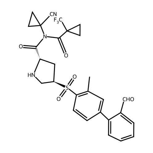 Cc1cc(-c2ccccc2C=O)ccc1S(=O)(=O)[C@H]1CN[C@H](C(=O)N(C(=O)C2(C(F)(F)F)CC2)C2(C#N)CC2)C1